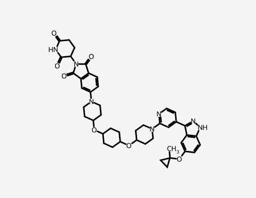 CC1(Oc2ccc3[nH]nc(-c4ccnc(N5CCC(OC6CCC(OC7CCN(c8ccc9c(c8)C(=O)N(C8CCC(=O)NC8=O)C9=O)CC7)CC6)CC5)c4)c3c2)CC1